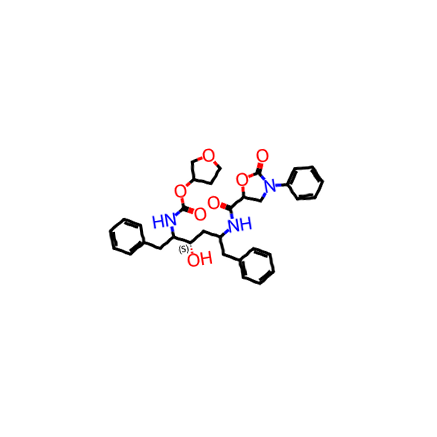 O=C(NC(Cc1ccccc1)[C@@H](O)CC(Cc1ccccc1)NC(=O)C1CN(c2ccccc2)C(=O)O1)OC1CCOC1